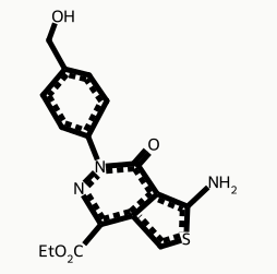 CCOC(=O)c1nn(-c2ccc(CO)cc2)c(=O)c2c(N)scc12